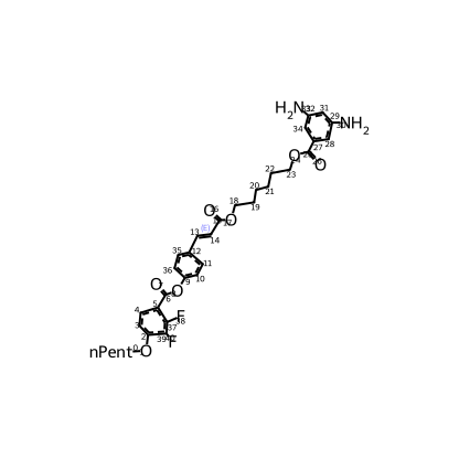 CCCCCOc1ccc(C(=O)Oc2ccc(/C=C/C(=O)OCCCCCCOC(=O)c3cc(N)cc(N)c3)cc2)c(F)c1F